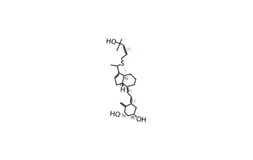 C=C1/C(=C\C=C2/CCC[C@]3(C)C(C(C)SC/C=C\C(C)(C)O)=CC[C@@H]23)C[C@@H](O)C[C@@H]1O